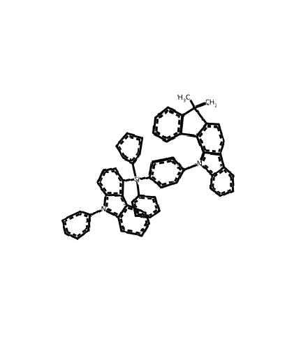 CC1(C)c2ccccc2-c2c1ccc1c3ccccc3n(-c3ccc([Si](c4ccccc4)(c4ccccc4)c4cccc5c4c4ccccc4n5-c4ccccc4)cc3)c21